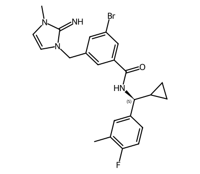 Cc1cc([C@@H](NC(=O)c2cc(Br)cc(Cn3ccn(C)c3=N)c2)C2CC2)ccc1F